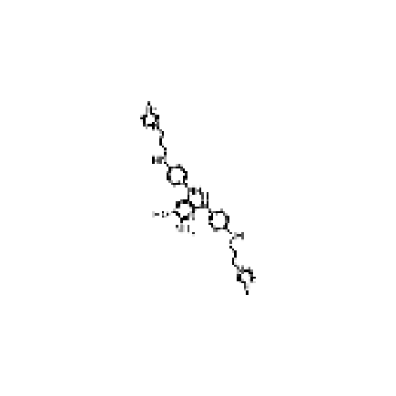 C[n+]1ccn(CCCNc2ccc(Nc3cc(O)c(N)nc3Nc3ccc(NCCCn4cc[n+](C)c4)cc3)cc2)c1